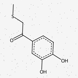 CSCC(=O)c1ccc(O)c(O)c1